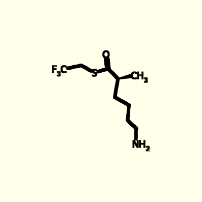 C[C@@H](CCCCN)C(=O)SCC(F)(F)F